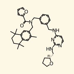 Cc1cc2c(cc1CN(Cc1cccc(CNc3ccnc(NC[C@H]4CCCO4)n3)c1)C(=O)c1ccco1)C(C)(C)CCC2(C)C